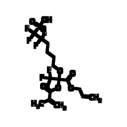 C=CCOC(=O)C(OCCCCC(F)(F)C(F)(F)S(=O)(=O)O)(OC(=O)C(=C)C)C(F)(F)F